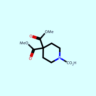 COC(=O)C1(C(=O)OC)CCN(C(=O)O)CC1